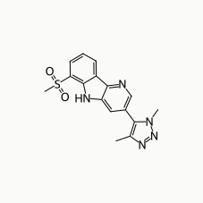 Cc1nnn(C)c1-c1cnc2c(c1)[nH]c1c(S(C)(=O)=O)cccc12